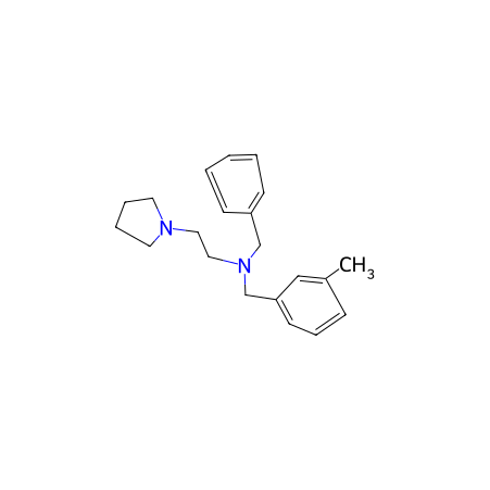 Cc1cccc(CN(CCN2CCCC2)Cc2ccccc2)c1